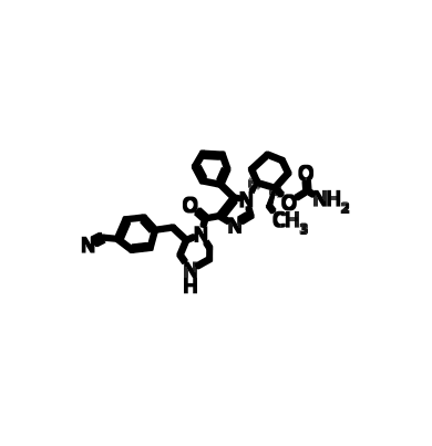 CC[C@]1(OC(N)=O)CCCC[C@@H]1n1cnc(C(=O)N2CCNCC2Cc2ccc(C#N)cc2)c1-c1ccccc1